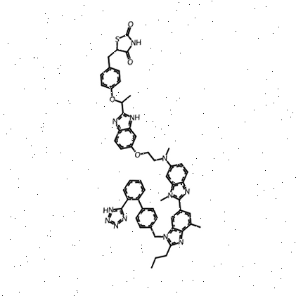 CCCc1nc2c(C)cc(-c3nc4ccc(N(C)CCOc5ccc6nc(C(C)Oc7ccc(CC8SC(=O)NC8=O)cc7)[nH]c6c5)cc4n3C)cc2n1Cc1ccc(-c2ccccc2-c2nnn[nH]2)cc1